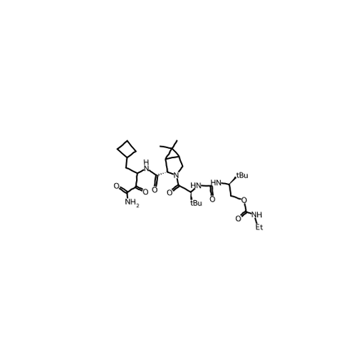 CCNC(=O)OC[C@@H](NC(=O)N[C@H](C(=O)N1CC2C([C@H]1C(=O)NC(CC1CCC1)C(=O)C(N)=O)C2(C)C)C(C)(C)C)C(C)(C)C